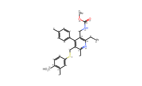 Cc1ccc(-c2c(CSc3ccc(C(=O)O)c(C)c3)c(C)nc(CC(C)C)c2CNC(=O)OC(C)(C)C)cc1